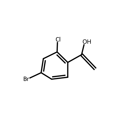 C=C(O)c1ccc(Br)cc1Cl